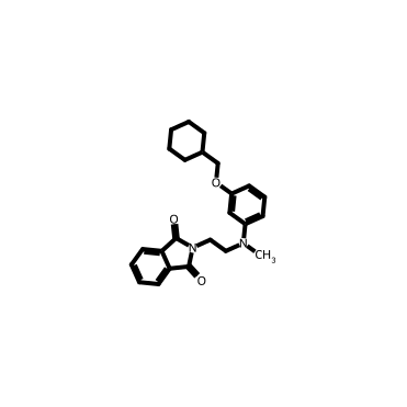 CN(CCN1C(=O)c2ccccc2C1=O)c1cccc(OCC2CCCCC2)c1